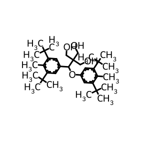 Cc1c(C(C)(C)C)cc(OC(c2cc(C(C)(C)C)c(C)c(C(C)(C)C)c2)C(CO)(CO)CO)cc1C(C)(C)C